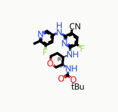 Cc1ncc(Nc2nc(N[C@@H]3CCOC[C@@H]3NC(=O)OC(C)(C)C)c(F)cc2C#N)cc1F